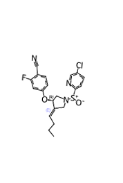 CCC/C=C1\CN([S+]([O-])c2ccc(Cl)cn2)C[C@@H]1Oc1ccc(C#N)c(F)c1